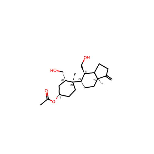 C=C1CCC2[C@H](CO)[C@@H]([C@@]3(C)CC[C@H](OC(C)=O)C[C@@H]3CO)CC[C@]12C